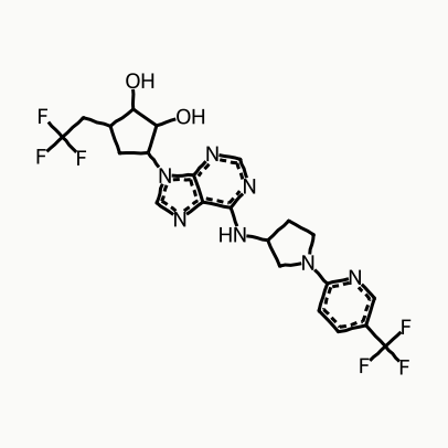 OC1C(CC(F)(F)F)CC(n2cnc3c(NC4CCN(c5ccc(C(F)(F)F)cn5)C4)ncnc32)C1O